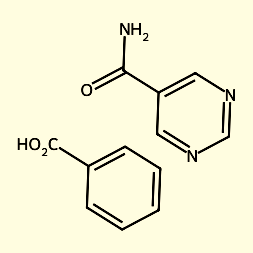 NC(=O)c1cncnc1.O=C(O)c1ccccc1